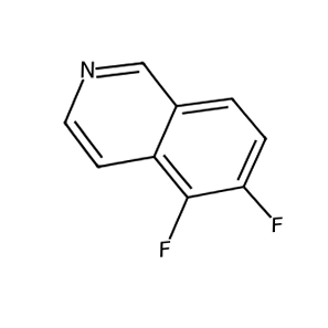 Fc1ccc2cnccc2c1F